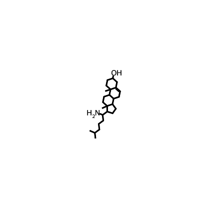 CC(C)CCCC(N)C1CCC2C3CC=C4CC(O)CCC4(C)C3CCC12C